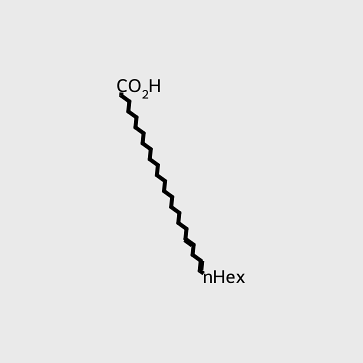 CCCCCCC=CCC=CCCCCCCCCCCCCCCCCCCC(=O)O